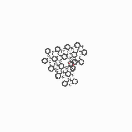 Fc1ccccc1N1c2cc(N(c3ccccc3)c3c(F)cccc3F)cc3c2B(c2cc4c(cc2N3c2c(F)cccc2F)N(c2c(F)cccc2F)c2cc(N(c3ccccc3)c3ccccc3)cc3c2B4c2cc4c(cc2N3c2c(F)cccc2F)N(c2c(F)cccc2F)c2cc(N(c3ccccc3)c3c(F)cccc3F)cc3c2B4c2sc4ccccc4c2O3)c2sc3ccccc3c21